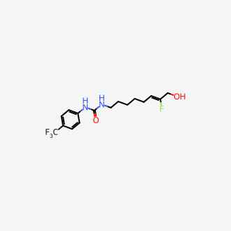 O=C(NCCCCCC=C(F)CO)Nc1ccc(C(F)(F)F)cc1